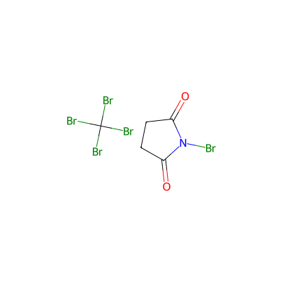 BrC(Br)(Br)Br.O=C1CCC(=O)N1Br